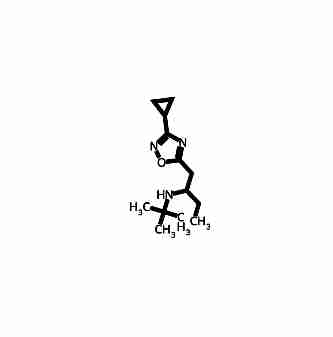 CCC(Cc1nc(C2CC2)no1)NC(C)(C)C